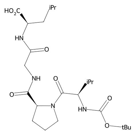 CC(C)C[C@@H](NC(=O)CNC(=O)[C@@H]1CCCN1C(=O)[C@H](NC(=O)OC(C)(C)C)C(C)C)C(=O)O